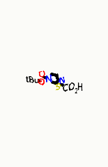 CC(C)(C)OC(=O)N1CCc2nc(C(=O)O)sc2C1